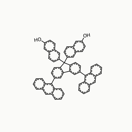 Oc1ccc2cc(C3(c4ccc5cc(O)ccc5c4)c4ccc(-c5c6ccccc6cc6ccccc56)cc4-c4cc(-c5c6ccccc6cc6ccccc56)ccc43)ccc2c1